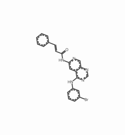 O=C(C=Cc1ccccc1)Nc1cc2c(Nc3cccc(Br)c3)ncnc2cn1